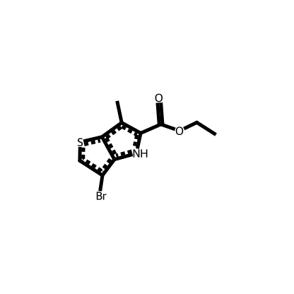 CCOC(=O)c1[nH]c2c(Br)csc2c1C